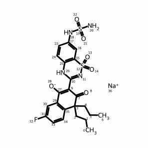 CCCC1(CCC)C(=O)C(C2=NS(=O)(=O)c3cc(NS(N)(=O)=O)ccc3N2)=C([O-])c2cc(F)ccc21.[Na+]